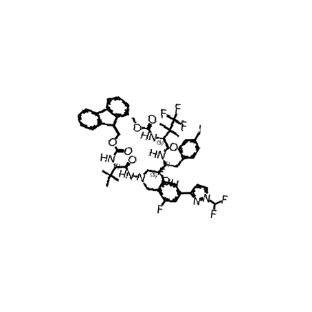 COC(=O)N[C@H](C(=O)N[C@@H](Cc1ccc(I)cc1)[C@@H](O)CN(Cc1c(F)cc(-c2ccn(C(F)F)n2)cc1F)NC(=O)[C@@H](NC(=O)OCC1c2ccccc2-c2ccccc21)C(C)(C)C)C(C)(C)C(F)(F)F